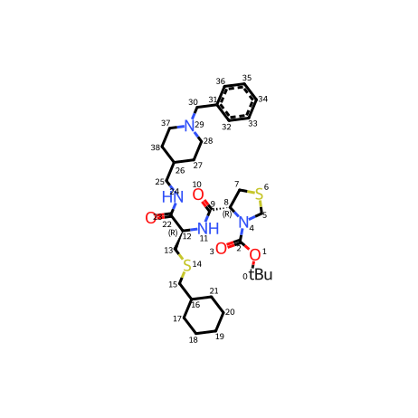 CC(C)(C)OC(=O)N1CSC[C@H]1C(=O)N[C@@H](CSCC1CCCCC1)C(=O)NCC1CCN(Cc2ccccc2)CC1